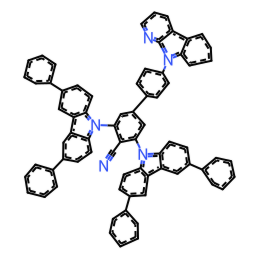 N#Cc1c(-n2c3ccc(-c4ccccc4)cc3c3cc(-c4ccccc4)ccc32)cc(-c2ccc(-n3c4ccccc4c4cccnc43)cc2)cc1-n1c2ccc(-c3ccccc3)cc2c2cc(-c3ccccc3)ccc21